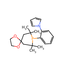 CC1(C)CC2(CC(C)(C)P1c1ccccc1-n1cccc1)OCCO2